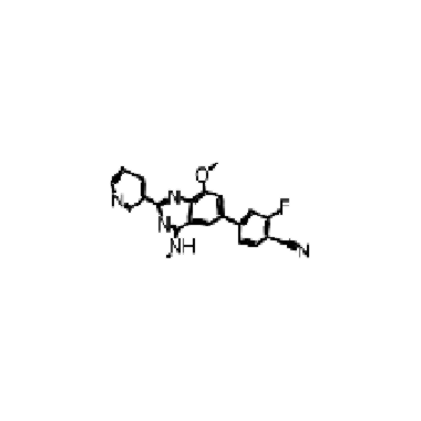 CNc1nc(-c2cccnc2)nc2c(OC)cc(-c3ccc(C#N)c(F)c3)cc12